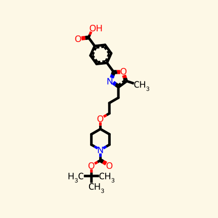 Cc1oc(-c2ccc(C(=O)O)cc2)nc1CCCOC1CCN(C(=O)OC(C)(C)C)CC1